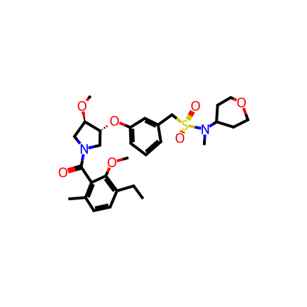 CCc1ccc(C)c(C(=O)N2C[C@@H](OC)[C@H](Oc3cccc(CS(=O)(=O)N(C)C4CCOCC4)c3)C2)c1OC